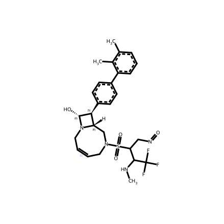 CNC(C(CN=O)S(=O)(=O)N1C/C=C\CN2[C@H](O)[C@@H](c3ccc(-c4cccc(C)c4C)cc3)[C@@H]2C1)C(F)(F)F